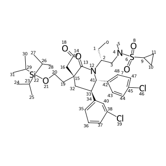 CC[C@H](CN(C)S(=O)(=O)C1CC1)N1C(=O)[C@@](CC=O)(CCO[Si](C(C)C)(C(C)C)C(C)C)C[C@H](c2cccc(Cl)c2)[C@H]1c1ccc(Cl)cc1